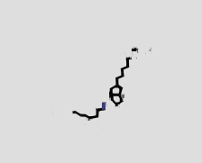 CCCC[C@H](C)C[C@H](O)/C=C/[C@@H]1[C@H]2CC(CCCCC(=O)NC(C)(C)C)=C[C@H]2C[C@H]1O